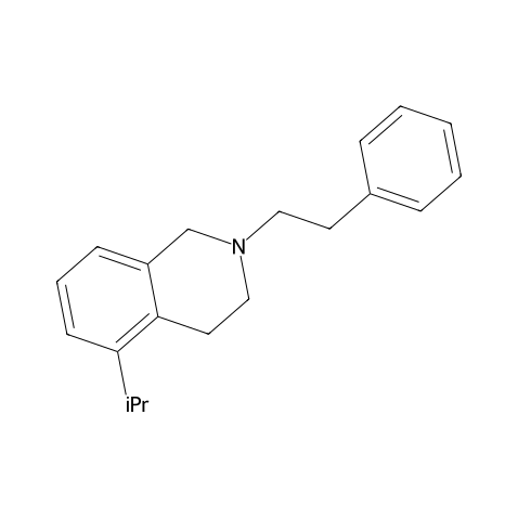 CC(C)c1cccc2c1CCN(CCc1ccccc1)C2